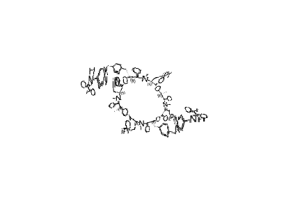 CC(C)C[C@H]1C(=O)O[C@H](Cc2ccc(Cn3cc(NS(C)(=O)=O)cn3)cc2)C(=O)N(C)[C@@H](CC(C)C)C(=O)O[C@H](C)C(=O)N(C)[C@@H](CC(C)C)C(=O)O[C@H](Cc2ccc(Cn3cc(NS(C)(=O)=O)cn3)cc2)C(=O)N(C)[C@@H](CC(C)C)C(=O)O[C@H](C)C(=O)N1C